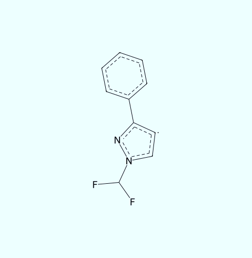 FC(F)n1c[c]c(-c2ccccc2)n1